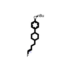 CCCCOc1ccc(C2CCC(CC/C=C/F)CC2)cc1